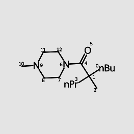 CCCCC(C)(CCC)C(=O)N1CCN(C)CC1